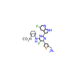 CN(C)Cc1cc(-c2nc(-c3c[nH]c4ncc(F)cc34)nc(NC3C4CCC(CC4)C3C(=O)O)c2F)cs1